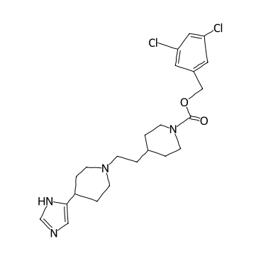 O=C(OCc1cc(Cl)cc(Cl)c1)N1CCC(CCN2CCC(c3cnc[nH]3)CC2)CC1